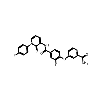 NC(=O)c1cc(Oc2ccc(C(=O)Nc3cccn(-c4ccc(F)cc4)c3=O)cc2F)ccn1